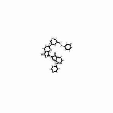 c1ccc(COc2cncc(-c3ccc4[nH]nc(-c5nc6c(-c7ccncc7)nccc6[nH]5)c4n3)c2)cc1